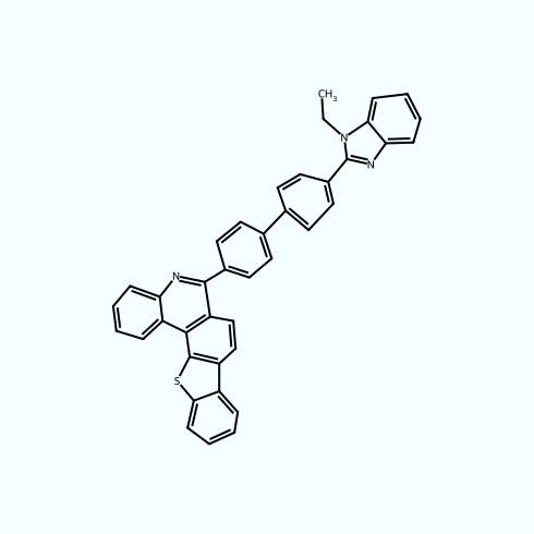 CCn1c(-c2ccc(-c3ccc(-c4nc5ccccc5c5c4ccc4c6ccccc6sc45)cc3)cc2)nc2ccccc21